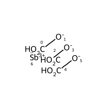 O=C([O-])O.O=C([O-])O.O=C([O-])O.[Sb+3]